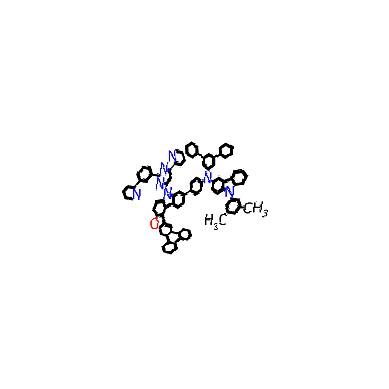 Cc1cc(C)cc(-n2c3ccccc3c3cc(N(c4ccc(-c5ccc6c7c8c(ccc7n(-c7cc(-c9ccccn9)nc(-c9cccc(-c%10ccccn%10)c9)n7)c6c5)oc5cc6c7ccccc7c7ccccc7c6cc58)cc4)c4cc(-c5ccccc5)cc(-c5ccccc5)c4)ccc32)c1